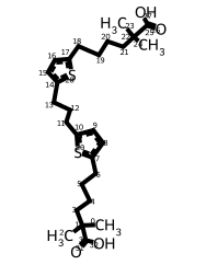 CC(C)(CCCCc1ccc(CCCc2ccc(CCCCC(C)(C)C(=O)O)s2)s1)C(=O)O